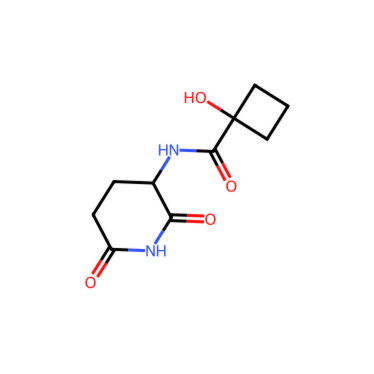 O=C1CCC(NC(=O)C2(O)CCC2)C(=O)N1